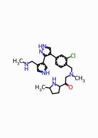 CNCc1c[nH]cc1-c1n[nH]cc1-c1ccc(CN(C)CC(=O)C2CCC(C)N2)c(Cl)c1